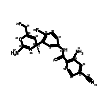 C[C@@]1(c2cc(NC(=O)c3ncc(C#N)cc3N)ccc2F)C=C(CF)OC(N)=N1